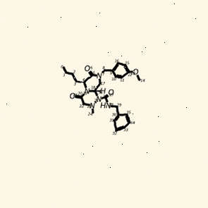 CCCC[C@H]1C(=O)N(Cc2ccc(OC)cc2)C[C@H]2N1C(=O)CN(C)N2C(=O)NCc1ccccc1